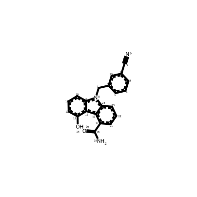 N#Cc1cccc(Cn2c3cccc(O)c3c3c(C(N)=O)cccc32)c1